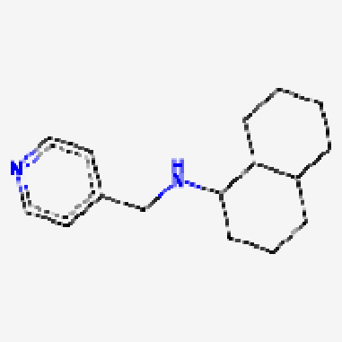 c1cc(CNC2CCCC3CCCCC32)ccn1